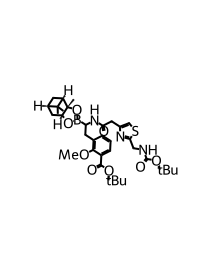 COc1c(CC(NC(=O)Cc2csc(CNC(=O)OC(C)(C)C)n2)B2O[C@@H]3C[C@@H]4C[C@@H](C4(C)C)[C@]3(C)O2)cccc1C(=O)OC(C)(C)C